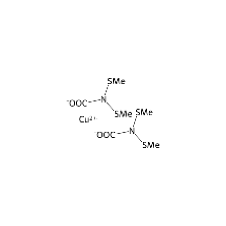 CSN(SC)C(=O)[O-].CSN(SC)C(=O)[O-].[Cu+2]